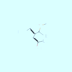 C/C=C(\C=C(\O)CC)C(P(C)C)C(C)(C)C